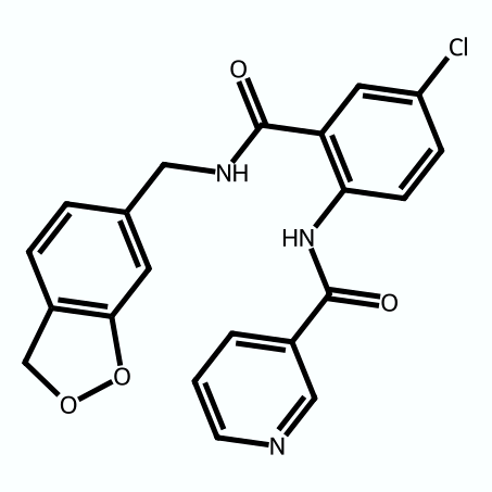 O=C(Nc1ccc(Cl)cc1C(=O)NCc1ccc2c(c1)OOC2)c1cccnc1